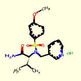 COc1ccc(S(=O)(=O)N(Cc2cccnc2)[C@@H](C(N)=O)C(C)C)cc1.Cl